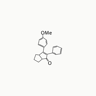 COc1ccc(C2=C(c3ccccc3)C(=O)C3CCCC23)cc1